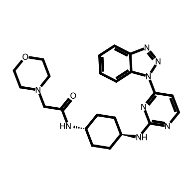 O=C(CN1CCOCC1)N[C@H]1CC[C@H](Nc2nccc(-n3nnc4ccccc43)n2)CC1